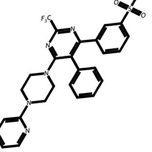 NS(=O)(=O)c1cccc(-c2nc(C(F)(F)F)nc(N3CCN(c4ccccn4)CC3)c2-c2ccccc2)c1